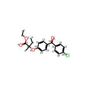 CCOC(=O)C(C)(CC)Oc1ccc(C(=O)c2ccc(Cl)cc2)cc1